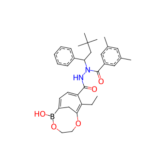 CCC1=C2CC(=CC=C1C(=O)NN(C(=O)c1cc(C)cc(C)c1)C(CC(C)(C)C)c1ccccc1)B(O)OCCO2